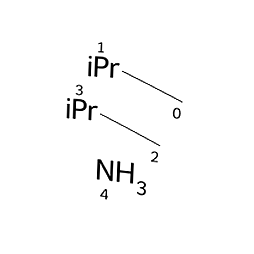 CC(C)C.CC(C)C.N